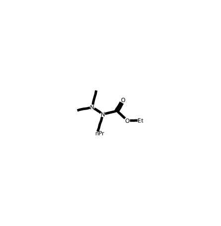 CCCN(C(=O)OCC)N(C)C